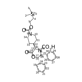 C[Si](C)(C)CCOC(=O)N1CCC([C@@H]2C(=O)O[C@@H](c3ccccc3)[C@@H](c3ccccc3)N2C(=O)O)CC1